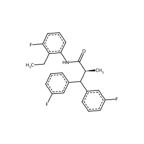 CCc1c(F)cccc1NC(=O)[C@@H](C)C(c1cccc(F)c1)c1cccc(F)c1